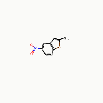 [CH2]c1cc2cc([N+](=O)[O-])ccc2s1